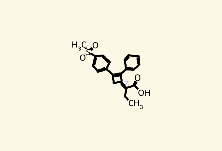 CC/C(C(=O)O)=C1\CC(c2ccc(S(C)(=O)=O)cc2)=C1c1ccccc1